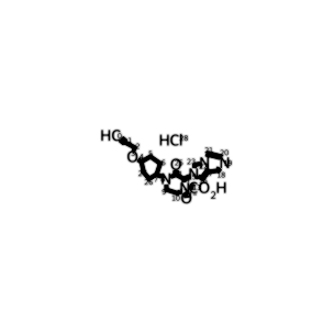 C#CCOC1CCC(N2CC[N+]([O-])(C(=O)O)C(N3C=C4C=NC=CN4C3)C2=O)CC1.Cl